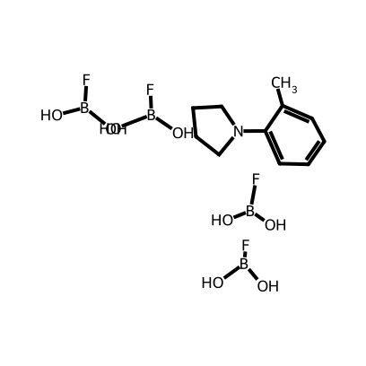 Cc1ccccc1N1CCCC1.OB(O)F.OB(O)F.OB(O)F.OB(O)F